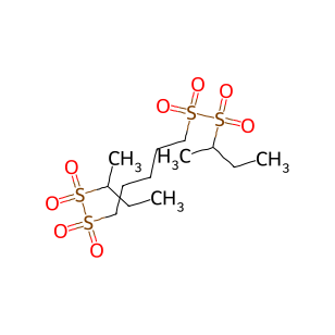 CCC(C)S(=O)(=O)S(=O)(=O)CCCCCS(=O)(=O)S(=O)(=O)C(C)CC